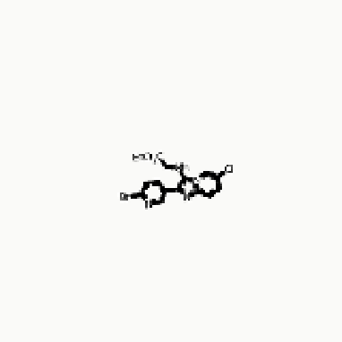 CCOC(=O)CNc1c(-c2ccc(Br)nc2)nc2ccc(Cl)cn12